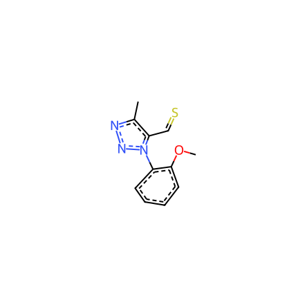 COc1ccccc1-n1nnc(C)c1C=S